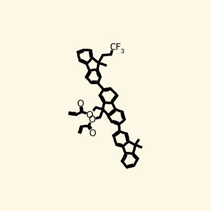 C=CC(=O)OCC1(COC(=O)C=C)c2cc(-c3ccc4c(c3)C(C)(C)c3ccccc3-4)ccc2-c2ccc(-c3ccc4c(c3)C(C)(CCC(F)(F)F)c3ccccc3-4)cc21